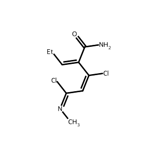 CC/C=C(C(N)=O)/C(Cl)=C\C(Cl)=N/C